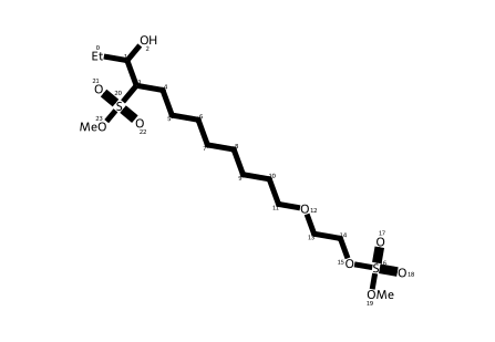 CCC(O)C(CCCCCCCCOCCOS(=O)(=O)OC)S(=O)(=O)OC